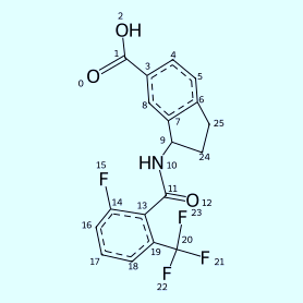 O=C(O)c1ccc2c(c1)C(NC(=O)c1c(F)cccc1C(F)(F)F)CC2